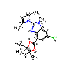 Cc1ccc(C)n1-c1nc2c(B3OC(C)(C)C(C)(C)O3)cc(Cl)cc2n1C